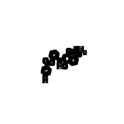 NS(=O)(=O)c1cccc2c1C(=O)C=C(Nc1ccccc1OC(=O)N1CCNCC1)C2=O